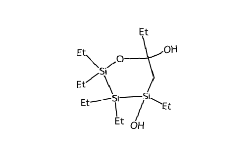 CCC1(O)C[Si](O)(CC)[Si](CC)(CC)[Si](CC)(CC)O1